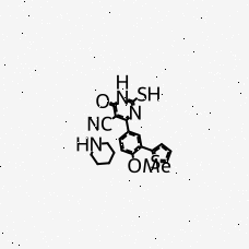 C1CCNCC1.COc1ccc(-c2nc(S)[nH]c(=O)c2C#N)cc1-c1cccs1